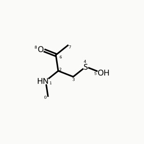 CNC(CSO)C(C)=O